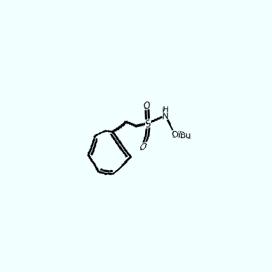 CC(C)CONS(=O)(=O)Cc1ccccc1